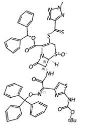 Cn1nnc(C(=S)SC2=C(C(=O)OC(c3ccccc3)c3ccccc3)N3C(=O)[C@@H](NC(=O)/C(=N\OC(c4ccccc4)(c4ccccc4)c4ccccc4)c4csc(NC(=O)OC(C)(C)C)n4)[C@@H]3[S+]([O-])C2)n1